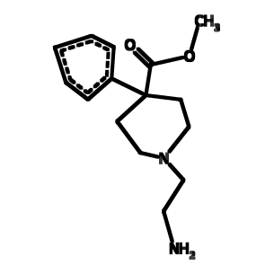 COC(=O)C1(c2ccccc2)CCN(CCN)CC1